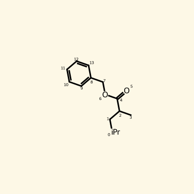 CC(C)CC(C)C(=O)OCc1ccccc1